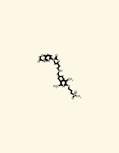 Cc1nc(OCCCS(C)(=O)=O)c(C)c2c1CC(CNCCC1CN(c3ccc4c(n3)NC(=O)CO4)C(=O)O1)C2